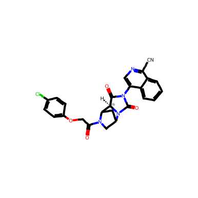 N#Cc1ncc(N2C(=O)[C@@H]3C4CC(CN4C(=O)COc4ccc(Cl)cc4)N3C2=O)c2ccccc12